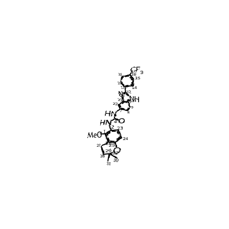 COc1c(NC(=O)Nc2ccc3[nH]c(-c4ccc(C(F)(F)F)cc4)nc3c2)ccc2c1C=CC(C)(C)O2